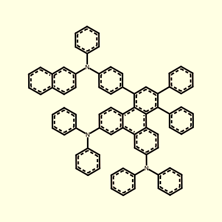 c1ccc(-c2cc(-c3ccc(N(c4ccccc4)c4ccc5ccccc5c4)cc3)c3c4ccc(N(c5ccccc5)c5ccccc5)cc4c4cc(N(c5ccccc5)c5ccccc5)ccc4c3c2-c2ccccc2)cc1